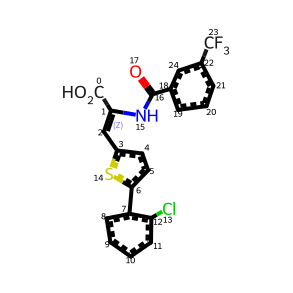 O=C(O)/C(=C/c1ccc(-c2ccccc2Cl)s1)NC(=O)c1cccc(C(F)(F)F)c1